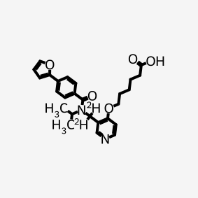 [2H]C([2H])(c1cnccc1OCCCCCC(=O)O)N(C(=O)c1ccc(-c2ccco2)cc1)C(C)C